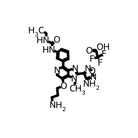 CCNC(=O)Nc1cccc(-c2ncc(OCCCN)c3c2nc(-c2nonc2N)n3CC)c1.O=C(O)C(F)(F)F